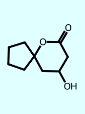 O=C1CC(O)CC2(CCCC2)O1